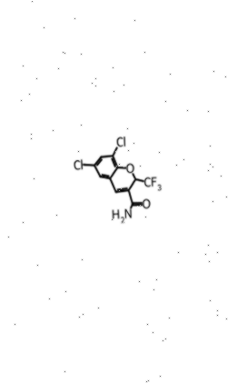 NC(=O)C1=Cc2cc(Cl)cc(Cl)c2OC1C(F)(F)F